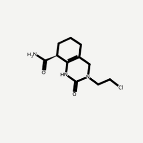 NC(=O)[C@H]1CCCC2=C1NC(=O)N(CCCl)C2